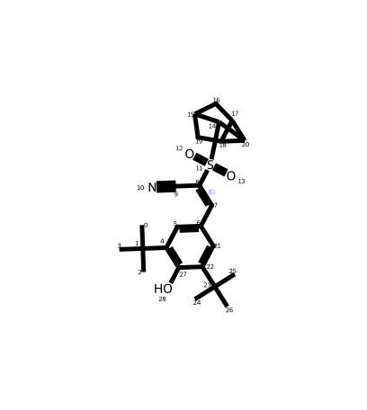 CC(C)(C)c1cc(/C=C(\C#N)S(=O)(=O)C2C3CC4C(C3)C42)cc(C(C)(C)C)c1O